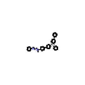 C/C(=C\C=C\c1ccccc1)c1ccc(-c2ccc(N(c3ccccc3)c3ccc(-c4ccccc4)cc3)cc2)cc1